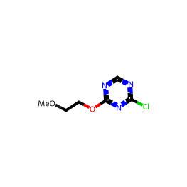 COCCOc1n[c]nc(Cl)n1